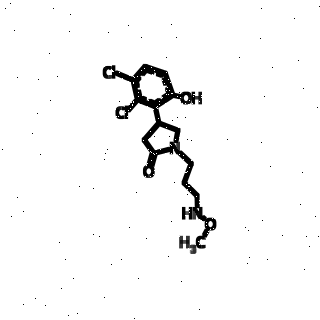 CONCCCN1CC(c2c(O)ccc(Cl)c2Cl)CC1=O